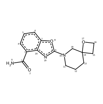 NC(=O)c1[c]ccc2oc(N3CCCC4(CCO4)C3)nc12